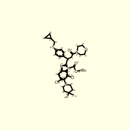 CC(C)(C)OC(=O)n1c(C(CC(=O)N2CCOCC2)c2ccc(SCC3CC3)cc2)nc2cc(Cl)c(N3CCC(F)(F)CC3)c(Cl)c21